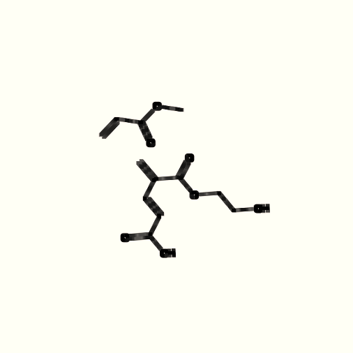 C=C(C=CC(=O)O)C(=O)OCCO.C=CC(=O)OC